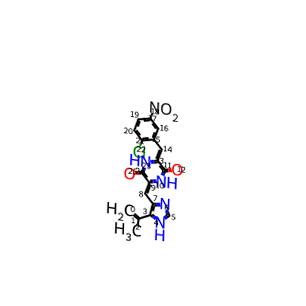 C=C(C)c1[nH]cnc1/C=c1\[nH]c(=O)/c(=C/c2cc([N+](=O)[O-])ccc2Cl)[nH]c1=O